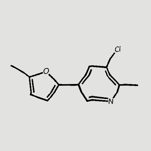 Cc1ccc(-c2cnc(C)c(Cl)c2)o1